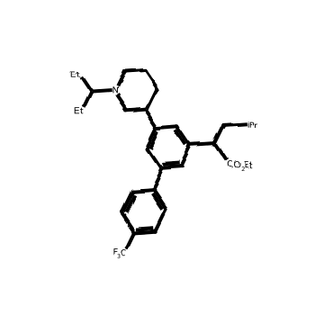 CCOC(=O)C(CC(C)C)c1cc(-c2ccc(C(F)(F)F)cc2)cc(C2CCCN(C(CC)CC)C2)c1